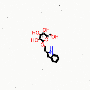 OC[C@H]1OC(OCCc2cc3ccccc3[nH]2)[C@H](O)[C@@H](O)[C@@H]1O